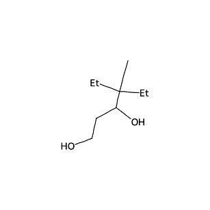 CCC(C)(CC)C(O)CCO